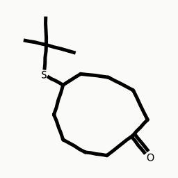 CC(C)(C)SC1CCCCC(=O)CCCC1